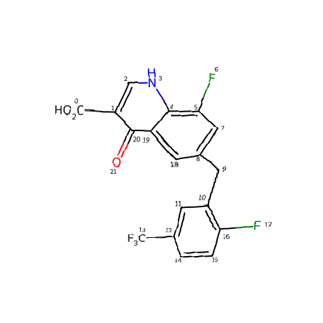 O=C(O)c1c[nH]c2c(F)cc(Cc3cc(C(F)(F)F)ccc3F)cc2c1=O